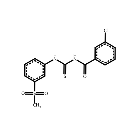 CS(=O)(=O)c1cccc(NC(=S)NC(=O)c2cccc(Cl)c2)c1